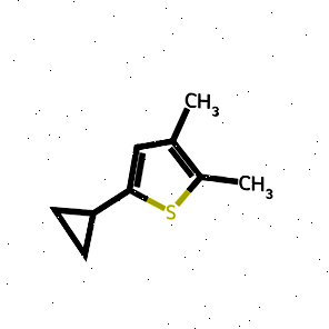 Cc1cc(C2CC2)sc1C